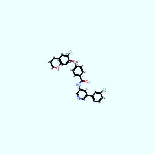 O=C(Nc1cncc(-c2cccc(Cl)c2)c1)c1ccc(Oc2cc3c(cc2Cl)CCCO3)cc1